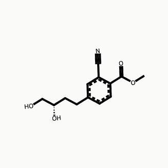 COC(=O)c1ccc(CC[C@H](O)CO)cc1C#N